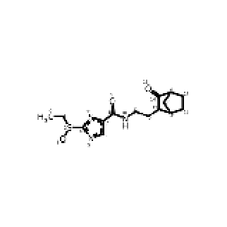 CC[S+]([O-])c1ncc(C(=O)NCCC2C(=O)C3CCC2C3)s1